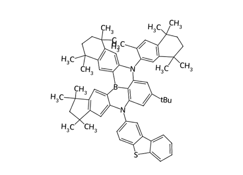 Cc1cc2c(cc1N1c3cc4c(cc3B3c5cc6c(cc5N(c5ccc7sc8ccccc8c7c5)c5cc(C(C)(C)C)cc1c53)C(C)(C)CC6(C)C)C(C)(C)CCC4(C)C)C(C)(C)CCC2(C)C